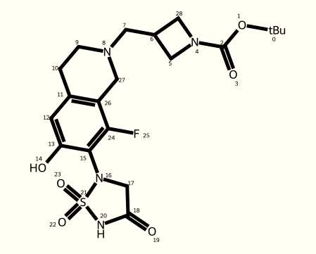 CC(C)(C)OC(=O)N1CC(CN2CCc3cc(O)c(N4CC(=O)NS4(=O)=O)c(F)c3C2)C1